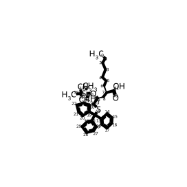 CCCCCCC[C@H](C[C@@H](CSC(c1ccccc1)(c1ccccc1)c1ccccc1)O[Si](C)(C)C(C)(C)C)C(=O)O